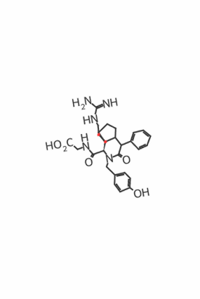 N=C(N)NCCC[C@H](C(=O)NCC(=O)O)N(Cc1ccc(O)cc1)C(=O)C(c1ccccc1)C1CCCC1